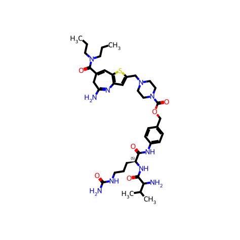 CCCN(CCC)C(=O)C1=Cc2sc(CN3CCN(C(=O)OCc4ccc(NC(=O)[C@H](CCCNC(N)=O)NC(=O)C(N)C(C)C)cc4)CC3)cc2N=C(N)C1